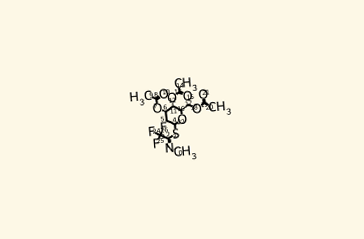 C/N=C(\SC1C[C@@H](OC(C)=O)[C@H](OC(C)=O)[C@@H](COC(C)=O)O1)C(F)(F)F